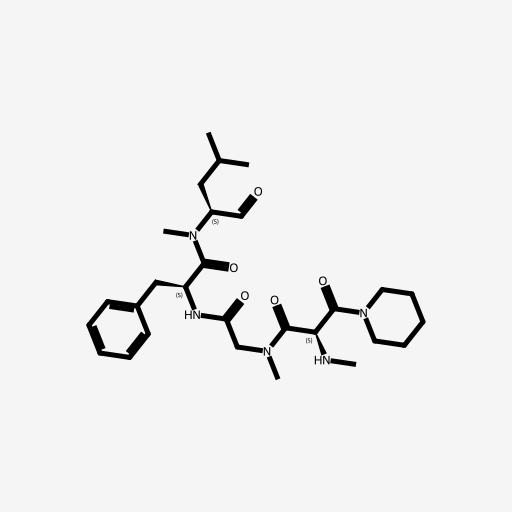 CN[C@@H](C(=O)N(C)CC(=O)N[C@@H](Cc1ccccc1)C(=O)N(C)[C@H](C=O)CC(C)C)C(=O)N1CCCCC1